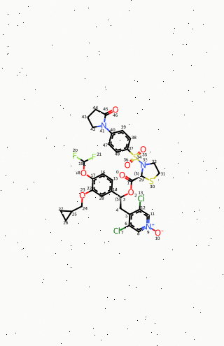 O=C(O[C@@H](Cc1c(Cl)c[n+]([O-])cc1Cl)c1ccc(OC(F)F)c(OCC2CC2)c1)[C@@H]1SCCN1S(=O)(=O)c1ccc(N2CCCC2=O)cc1